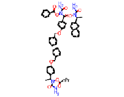 CC(c1ccc(OCc2ccccc2)cc1)N(OC(=O)c1ccccc1)C(N)=O.CC(c1ccc2ccccc2c1)N(O)C(N)=O.CCCC(=O)ON(C(N)=O)C(C)c1ccc(OCc2ccccc2)cc1